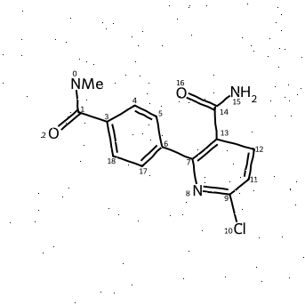 CNC(=O)c1ccc(-c2nc(Cl)ccc2C(N)=O)cc1